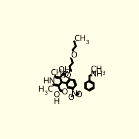 CCCCOCCCCOc1ccc([N+](=O)[O-])cc1C1C(C(=O)O)=C(C)NC(C)=C1C(=O)O.CNCc1ccccc1